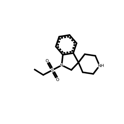 CCS(=O)(=O)N1CC2(CCNCC2)c2ccccc21